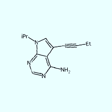 CCC#Cc1cn(C(C)C)c2ncnc(N)c12